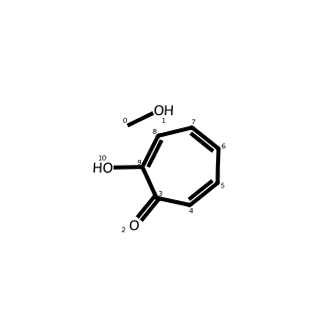 CO.O=c1cccccc1O